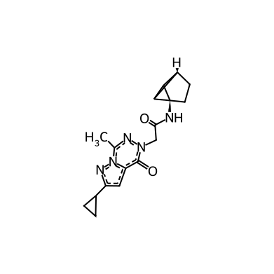 Cc1nn(CC(=O)N[C@]23CC[C@H]4C2C43)c(=O)c2cc(C3CC3)nn12